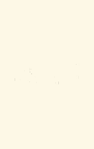 COc1cc(C(=O)NS(C)(=O)=O)ccc1Cc1ccc(Cl)c(Cl)c1